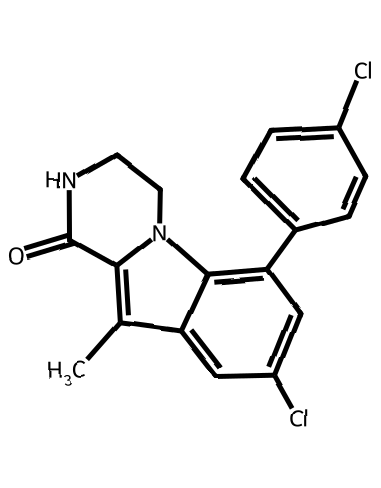 Cc1c2n(c3c(-c4ccc(Cl)cc4)cc(Cl)cc13)CCNC2=O